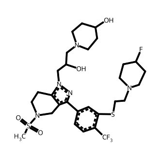 CS(=O)(=O)N1CCc2c(c(-c3ccc(C(F)(F)F)c(SCCN4CCC(F)CC4)c3)nn2CC(O)CN2CCC(O)CC2)C1